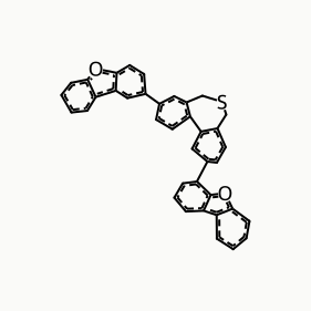 c1ccc2c(c1)oc1ccc(-c3ccc4c(c3)CSCc3ccc(-c5cccc6c5oc5ccccc56)cc3-4)cc12